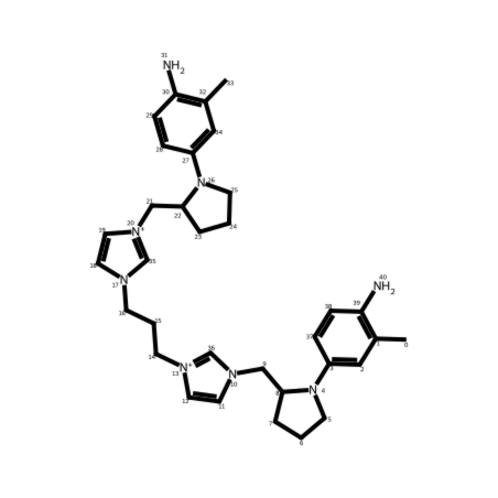 Cc1cc(N2CCCC2Cn2cc[n+](CCCn3cc[n+](CC4CCCN4c4ccc(N)c(C)c4)c3)c2)ccc1N